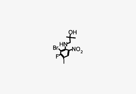 CC(C)(O)CNc1c([N+](=O)[O-])cc(I)c(F)c1Br